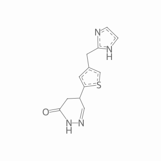 O=C1CC(c2cc(Cc3ncc[nH]3)cs2)C=NN1